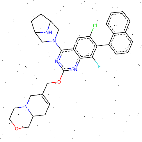 Fc1c(-c2cccc3ccccc23)c(Cl)cc2c(N3CC4CCC(C3)N4)nc(OCC3=CCC4COCCN4C3)nc12